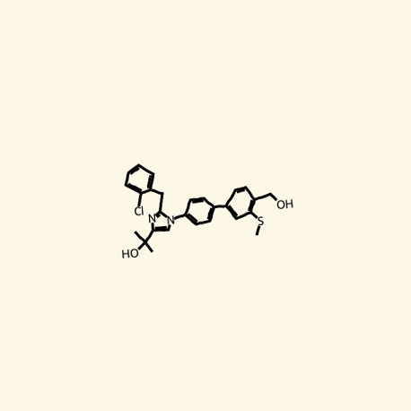 CSc1cc(-c2ccc(-n3cc(C(C)(C)O)nc3Cc3ccccc3Cl)cc2)ccc1CO